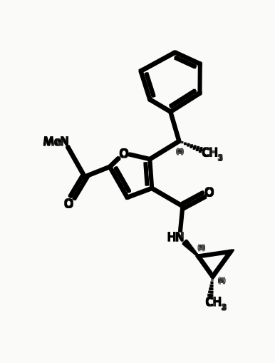 CNC(=O)c1cc(C(=O)N[C@H]2C[C@@H]2C)c([C@@H](C)c2ccccc2)o1